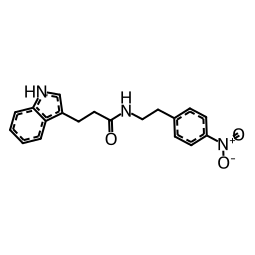 O=C(CCc1c[nH]c2ccccc12)NCCc1ccc([N+](=O)[O-])cc1